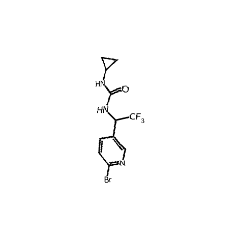 O=C(NC1CC1)NC(c1ccc(Br)nc1)C(F)(F)F